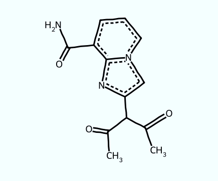 CC(=O)C(C(C)=O)c1cn2cccc(C(N)=O)c2n1